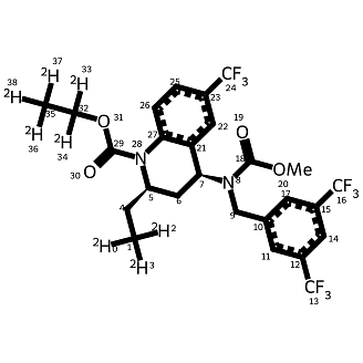 [2H]C([2H])([2H])C[C@@H]1C[C@H](N(Cc2cc(C(F)(F)F)cc(C(F)(F)F)c2)C(=O)OC)c2cc(C(F)(F)F)ccc2N1C(=O)OC([2H])([2H])C([2H])([2H])[2H]